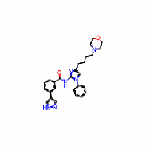 O=C(Nc1nc(CCCCN2CCOCC2)cn1-c1ccccc1)c1cccc(-c2cn[nH]c2)c1